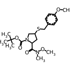 COc1ccc(CSC2CC(C(=O)N(C)OC)N(C(=O)OC(C)(C)C)C2)cc1